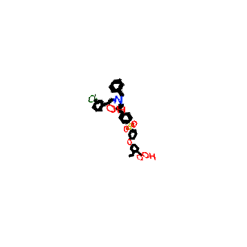 CCc1cc(Oc2cccc(S(=O)(=O)c3ccc(CCN(Cc4ccccc4)CC(O)c4cccc(Cl)c4)cc3)c2)ccc1C(=O)O